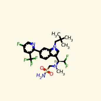 CN(CS(N)(=O)=O)[C@@H](c1cn(CC(C)(C)C)c2cc(-c3ncc(F)cc3C(F)(F)F)ccc12)C(F)F